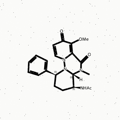 COc1c2n(ccc1=O)N1[C@H](c3ccccc3)CC[C@H](NC(C)=O)[C@H]1N(C)C2=O